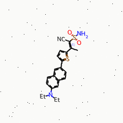 CCN(CC)c1ccc2cc(-c3ccc(/C(C)=C(\C#N)S(N)(=O)=O)s3)ccc2c1